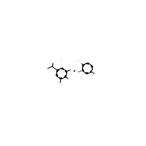 CC(C(=O)O)c1cc(/N=N/c2cc(Cl)ccc2[N+](=O)[O-])c(O)c(C(C)(C)C)c1